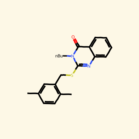 CCCCn1c(SCc2cc(C)ccc2C)nc2ccccc2c1=O